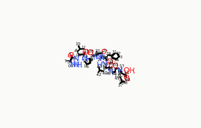 CN[C@@H](C)C(=O)N[C@@H](CC(C)C)C(=O)N1CCC[C@H]1C(=O)N[C@@H](C)C(=O)N(C)[C@@H](Cc1ccccc1)C(=O)N[C@@H](CC(C)C)C(=O)N(C)[C@@H](C)C(=O)N(C)[C@@H](CC(C)C)C(=O)O